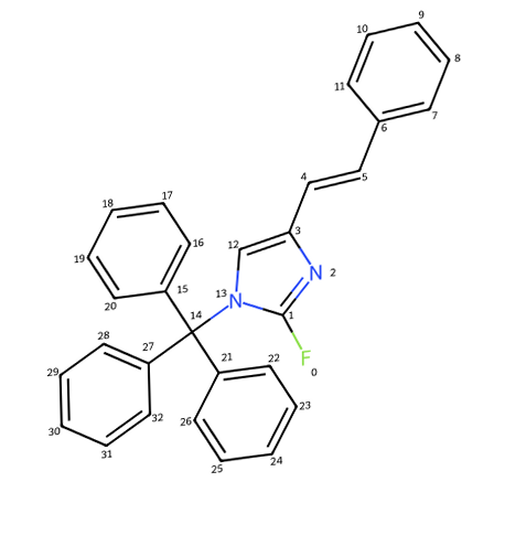 Fc1nc(C=Cc2ccccc2)cn1C(c1ccccc1)(c1ccccc1)c1ccccc1